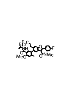 C=C(CC)NC(=O)c1cc(-c2cc3c(C(=O)NC)c(-c4ccc(F)cc4)oc3cc2CCC(F)(F)F)c(C)cc1OC